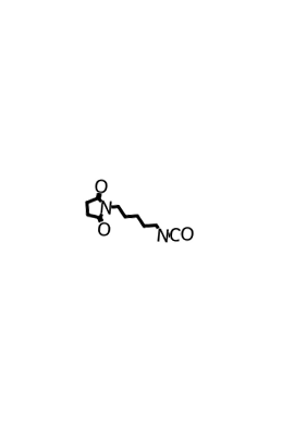 O=C=NCCCCCN1C(=O)CCC1=O